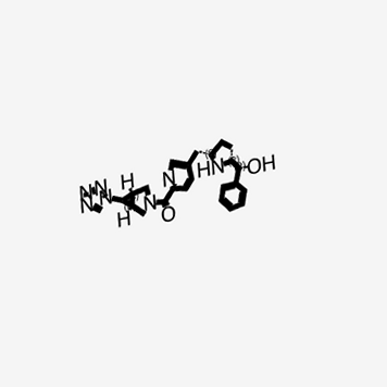 O=C(c1ccc(C[C@@H]2CC[C@H]([C@H](O)c3ccccc3)N2)cn1)N1C[C@@H]2C(n3cnnn3)[C@@H]2C1